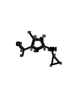 CC(=O)c1sc(NC2CC2)nc1C